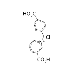 O=C(O)c1ccc(C[n+]2cccc(C(=O)O)c2)cc1.[Cl-]